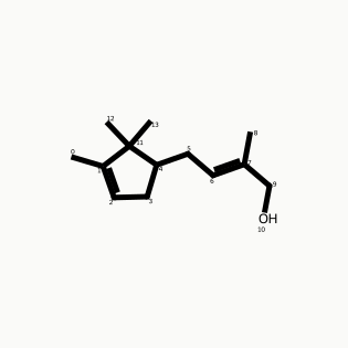 CC1=CCC(C/C=C(\C)CO)C1(C)C